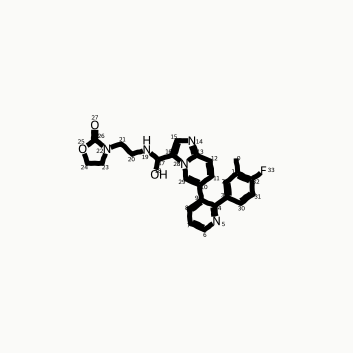 Cc1cc(-c2ncccc2-c2ccc3ncc(C(O)NCCN4CCOC4=O)n3c2)ccc1F